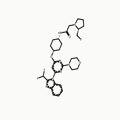 O=C(CN1CCC[C@H]1CF)N[C@H]1CC[C@H](Oc2cc(-n3c(C(F)F)nc4ccccc43)nc(N3CCOCC3)n2)CC1